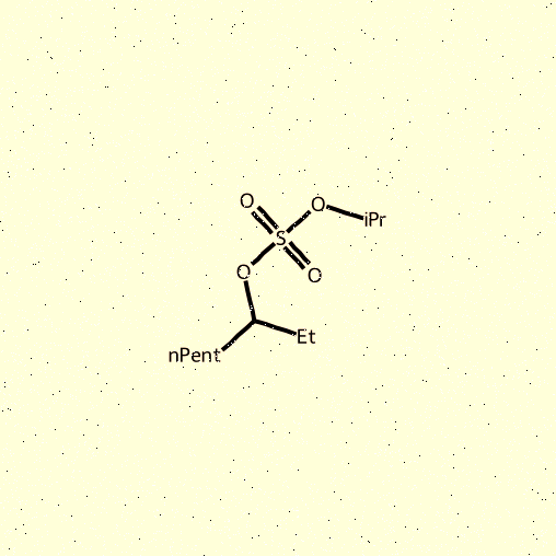 CCCCCC(CC)OS(=O)(=O)OC(C)C